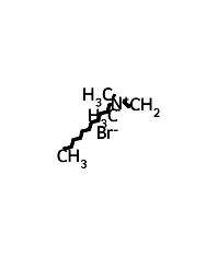 C=CC[N+](CC)(CC)CCCCCCCCCCCC.[Br-]